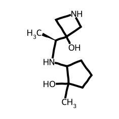 C[C@H](NC1CCCC1(C)O)C1(O)CNC1